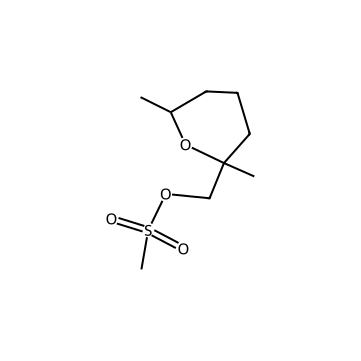 CC1CCCC(C)(COS(C)(=O)=O)O1